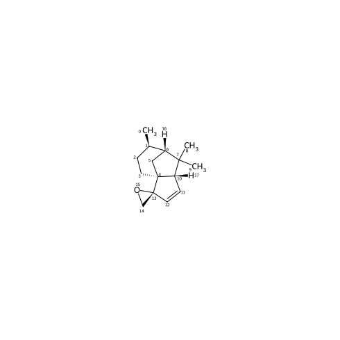 C[C@@H]1CC[C@]23C[C@H]1C(C)(C)[C@@H]2C=C[C@@]31CO1